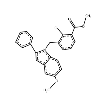 COC(=O)c1cccc(Cn2c(-c3ccccc3)cc3cc(OC)ccc32)c1Cl